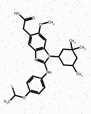 COc1cc2c(cc1CC(=O)O)nc(Nc1ccc(OC(C)I)cc1)n2C1CC(C)CC(C)(C)C1